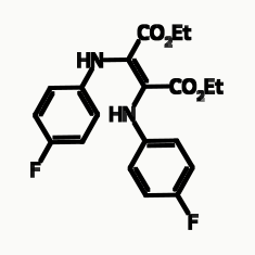 CCOC(=O)C(Nc1ccc(F)cc1)=C(Nc1ccc(F)cc1)C(=O)OCC